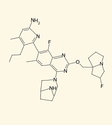 CCCc1c(C)cc(N)nc1-c1c(C)cc2c(N3CC4CCC(C3)N4)nc(OCC34CCCN3CC(F)C4)nc2c1F